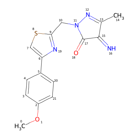 COc1ccc(-c2csc(CN3N=C(C)C(=N)C3=O)n2)cc1